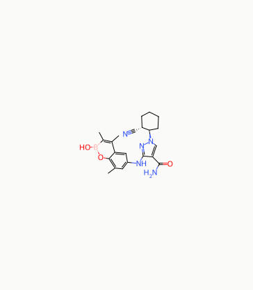 CC1=C(C)c2cc(Nc3nn([C@@H]4CCCC[C@H]4C#N)cc3C(N)=O)cc(C)c2OB1O